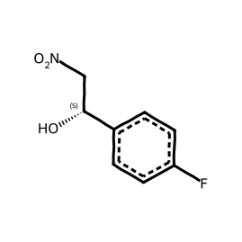 O=[N+]([O-])C[C@@H](O)c1ccc(F)cc1